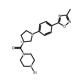 CCN1CCN(C(=O)[C@H]2CCN(c3ccc(-c4nc(C)no4)cc3)C2)CC1